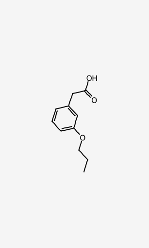 CCCOc1cccc(CC(=O)O)c1